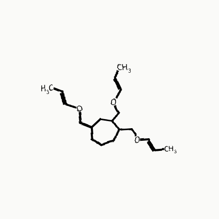 CC=COCC1CCCC(COC=CC)C(COC=CC)C1